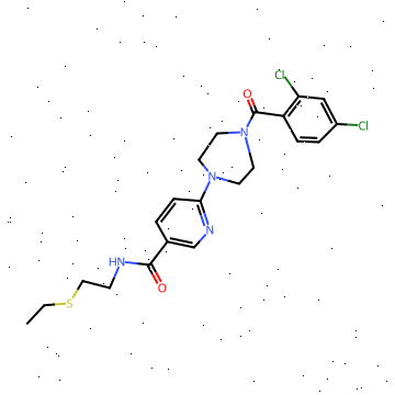 CCSCCNC(=O)c1ccc(N2CCN(C(=O)c3ccc(Cl)cc3Cl)CC2)nc1